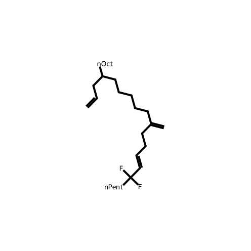 C=CCC(CCCCCCCC)CCCCCC(=C)CCC=CC(F)(F)CCCCC